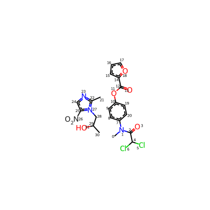 CN(C(=O)C(Cl)Cl)c1ccc(OC(=O)c2ccco2)cc1.Cc1ncc([N+](=O)[O-])n1CC(C)O